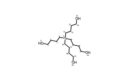 OCCC[CH2][Ti]([CH2]CCCO)([CH2]CCCO)[CH2]CCCO